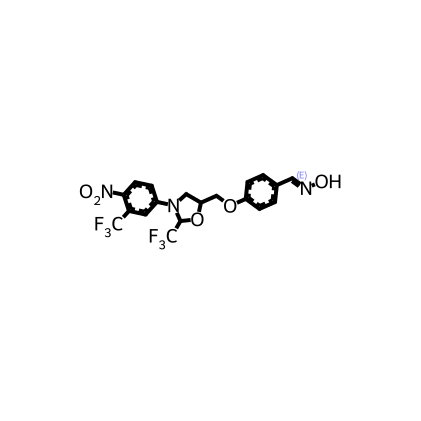 O=[N+]([O-])c1ccc(N2CC(COc3ccc(/C=N/O)cc3)OC2C(F)(F)F)cc1C(F)(F)F